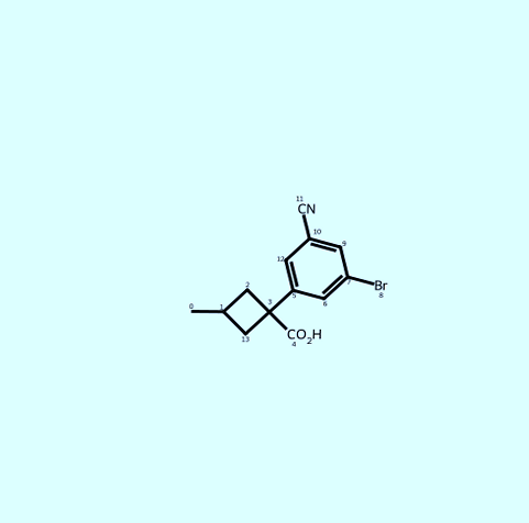 CC1CC(C(=O)O)(c2cc(Br)cc(C#N)c2)C1